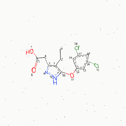 CCc1c(CC(=O)O)n[nH]c1Oc1cc(Cl)cc(Cl)c1